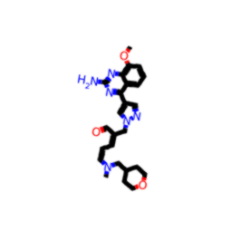 COc1cccc2c(-c3cnn(C/C(C=O)=C/C=C\N(C)CC4CCOCC4)c3)nc(N)nc12